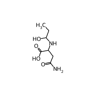 CCC(O)NC(CC(N)=O)C(=O)O